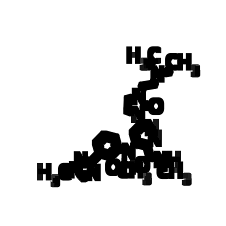 CCN(CC)CCN1CCN(c2cc(Nc3cccc(-c4ncn(C)n4)c3OC)c(C(=O)NC)nn2)C1=O